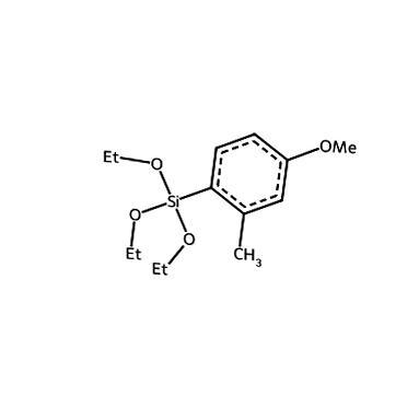 CCO[Si](OCC)(OCC)c1ccc(OC)cc1C